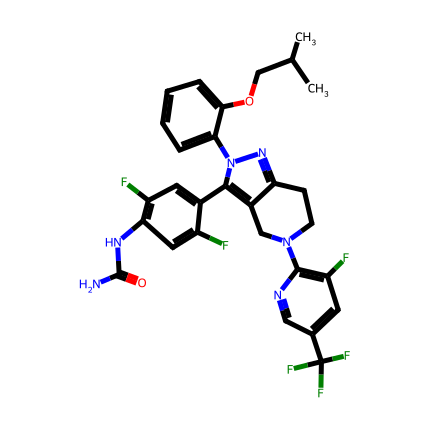 CC(C)COc1ccccc1-n1nc2c(c1-c1cc(F)c(NC(N)=O)cc1F)CN(c1ncc(C(F)(F)F)cc1F)CC2